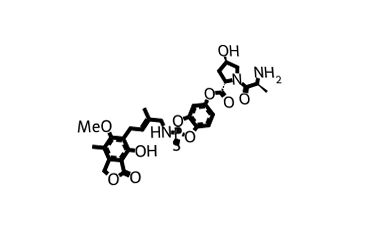 COc1c(C)c2c(c(O)c1C/C=C(\C)CNP1(=S)Oc3ccc(OC(=O)[C@@H]4C[C@@H](O)CN4C(=O)[C@H](C)N)cc3O1)C(=O)OC2